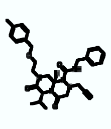 C#CCN1CC(=O)N2[C@@H](C(C)C)C(=O)N(CCOCc3ccc(C)cc3)C[C@@H]2N1C(=O)NCc1ccccc1